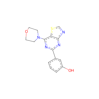 Oc1cccc(-c2nc(N3CCOCC3)c3scnc3n2)c1